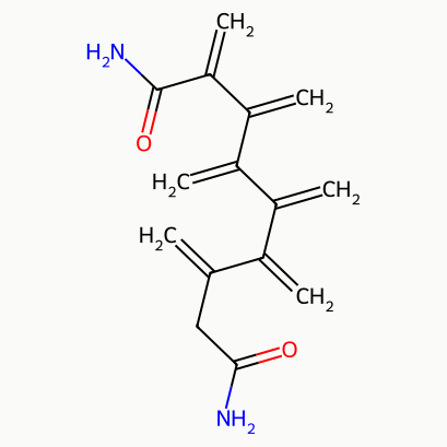 C=C(CC(N)=O)C(=C)C(=C)C(=C)C(=C)C(=C)C(N)=O